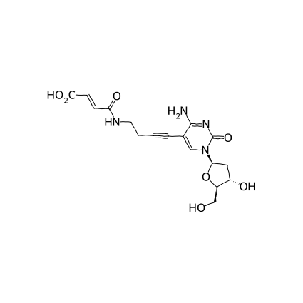 Nc1nc(=O)n([C@H]2C[C@H](O)[C@@H](CO)O2)cc1C#CCCNC(=O)/C=C/C(=O)O